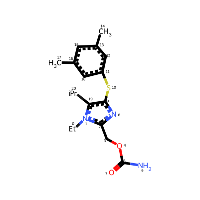 CCn1c(COC(N)=O)nc(Sc2cc(C)cc(C)c2)c1C(C)C